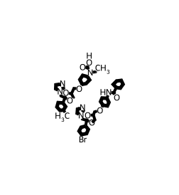 CCN(C(=O)O)c1ccc(OCC2COC(Cn3ccnc3)(c3cccc(C)c3)O2)cc1.O=C(Nc1ccc(OCC2COC(Cn3ccnc3)(c3ccc(Br)cc3)O2)cc1)c1ccccc1